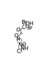 O=C(c1cc(Br)c(O)c(Br)c1)C1CC1C(=O)N1CCC(N2Cc3ccccc3NC2=O)CC1